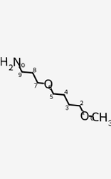 COCCCCOCCCN